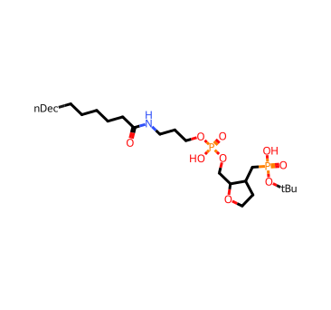 CCCCCCCCCCCCCCCC(=O)NCCCOP(=O)(O)OCC1OCCC1CP(=O)(O)OC(C)(C)C